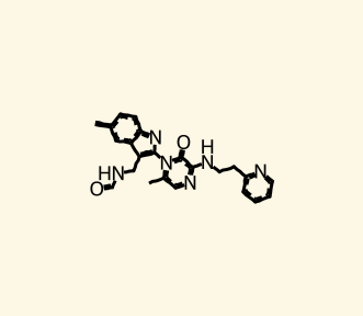 C=c1ccc2c(c1)C(CNC=O)=C(n1c(C)cnc(NCCc3ccccn3)c1=O)N=2